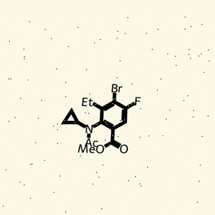 CCc1c(Br)c(F)cc(C(=O)OC)c1N(C(C)=O)C1CC1